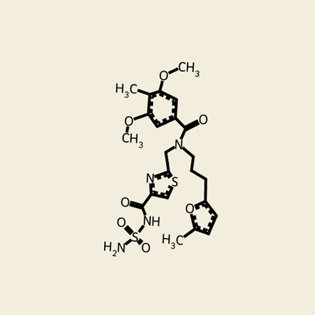 COc1cc(C(=O)N(CCCc2ccc(C)o2)Cc2nc(C(=O)NS(N)(=O)=O)cs2)cc(OC)c1C